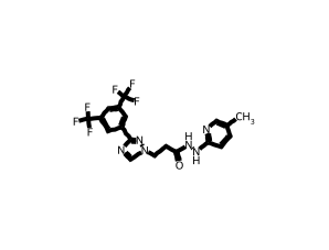 Cc1ccc(NNC(=O)CCn2cnc(-c3cc(C(F)(F)F)cc(C(F)(F)F)c3)n2)nc1